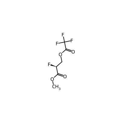 COC(=O)[C@@H](F)COC(=O)C(F)(F)F